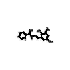 CC(C)(C)c1cc(C=NNC(=N)c2ccccn2)c(O)c(C(C)(C)C)c1